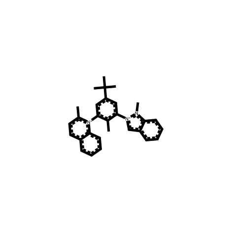 Cc1c(-[n+]2c(C)ccc3ccccc32)cc(C(C)(C)C)cc1-[n+]1cc2ccccc2n1C